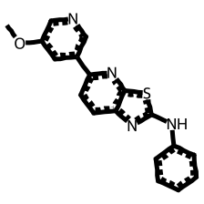 COc1cncc(-c2ccc3nc(Nc4ccccc4)sc3n2)c1